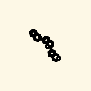 c1ccc2c(c1)CCN(c1ccc3c(c1)OC(c1ccc4c(c1)COCC4)CC3)C2